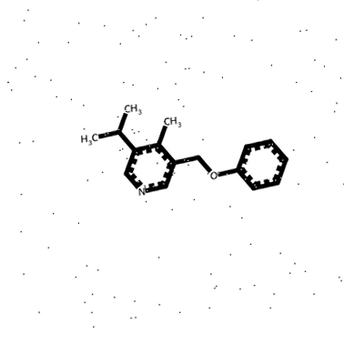 Cc1c(COc2ccccc2)cncc1C(C)C